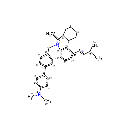 C=C(C1CCCCC1)N(Cc1ccc(-c2ccc(N(C)C)cc2)cc1)c1cccc(/C=C/C(C)C)c1